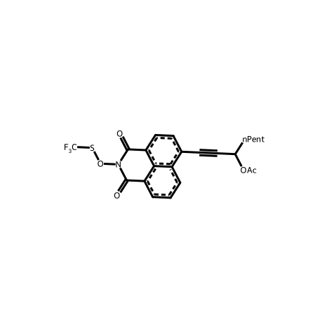 CCCCCC(C#Cc1ccc2c3c(cccc13)C(=O)N(OSC(F)(F)F)C2=O)OC(C)=O